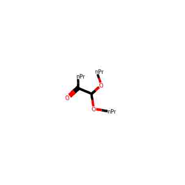 CCCOC(OCCC)C(=O)CCC